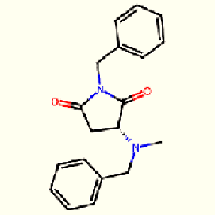 CN(Cc1ccccc1)[C@@H]1CC(=O)N(Cc2ccccc2)C1=O